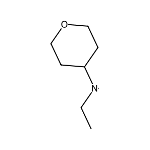 CC[N]C1CCOCC1